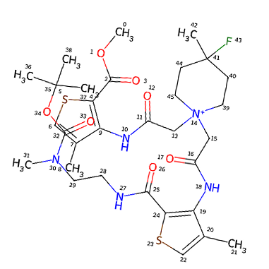 COC(=O)c1scc(C)c1NC(=O)C[N+]1(CC(=O)Nc2c(C)csc2C(=O)NCCN(C)C(=O)OC(C)(C)C)CCC(C)(F)CC1